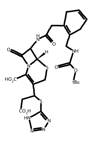 CC(C)(C)OC(=O)NCC1=C(CC(=O)NC2C(=O)N3C(C(=O)O)=C(C(CC(=O)O)Sc4nnn[nH]4)CS[C@@H]23)CC=CC1